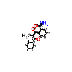 Cc1c(-c2ccccc2)oc2cccc(C(N)=O)c2c1=O